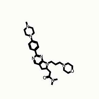 CN1CCN(c2ccc(-c3ncc4c(n3)N(CCCN3CCOCC3)C(CC(=O)N(C)C)C4)cc2)CC1